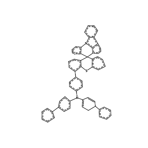 C1=CC(c2ccccc2)CC=C1N(c1ccc(-c2ccccc2)cc1)c1ccc(-c2cccc3c2Sc2ccccc2C32c3ccccc3-n3c4ccccc4c4cccc2c43)cc1